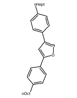 CCCCCCCCc1ccc(-c2cc(-c3ccc(CCCCCCC)cc3)no2)cc1